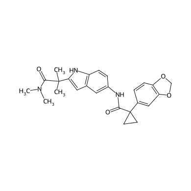 CN(C)C(=O)C(C)(C)c1cc2cc(NC(=O)C3(c4ccc5c(c4)OCO5)CC3)ccc2[nH]1